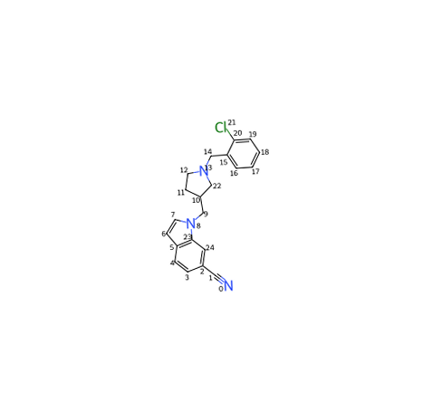 N#Cc1ccc2ccn(CC3CCN(Cc4ccccc4Cl)C3)c2c1